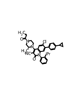 C=CC(=O)N1CCN(c2c(C#N)c(=O)n(-c3ccccc3C(C)C)c3cc(-c4ccc(C5CC5)cc4)c(Cl)cc23)[C@@H](C)C1